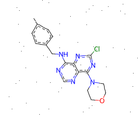 Cc1ccc(CNc2ncnc3c(N4CCOCC4)nc(Cl)nc23)cc1